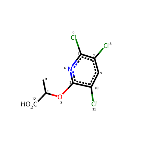 CC(Oc1nc(Cl)c(Cl)cc1Cl)C(=O)O